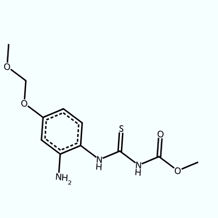 COCOc1ccc(NC(=S)NC(=O)OC)c(N)c1